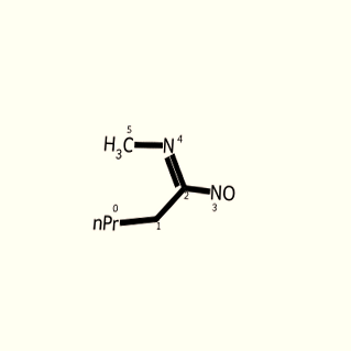 CCCC/C(N=O)=N\C